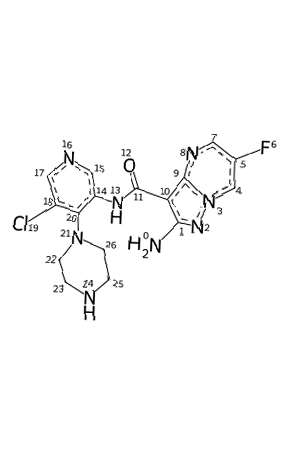 Nc1nn2cc(F)cnc2c1C(=O)Nc1cncc(Cl)c1N1CCNCC1